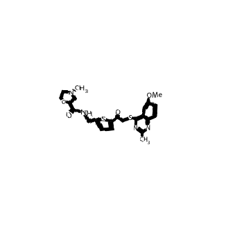 COc1ccc2nc(C)nc(SCC(=O)c3ccc(CNC(=O)C4CN(C)CCO4)s3)c2c1